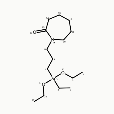 CCO[Si](CC)(CCCN1CCCCCC1=O)OCC